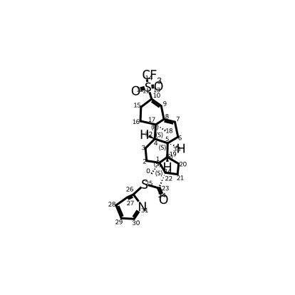 C[C@]12CC[C@H]3[C@@H](CC=C4C=C(S(=O)(=O)C(F)(F)F)CC[C@@]43C)[C@@H]1CC[C@@H]2C(=O)Sc1ccccn1